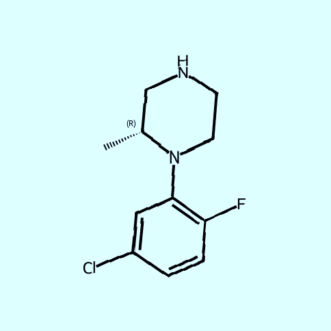 C[C@@H]1CNCCN1c1cc(Cl)ccc1F